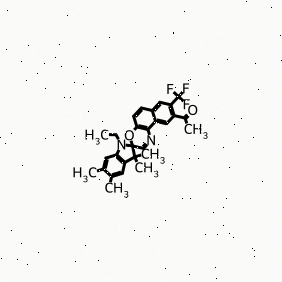 CCN1c2cc(C)c(C)cc2C(C)(C)C12C=Nc1c(ccc3cc(C(F)(F)F)c(C(C)=O)cc13)O2